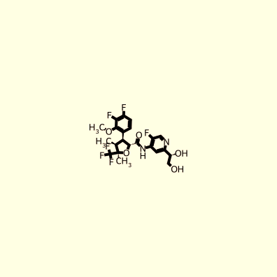 COc1c([C@H]2[C@H](C(=O)Nc3cc([C@H](O)CO)ncc3F)O[C@@](C)(C(F)(F)F)[C@H]2C)ccc(F)c1F